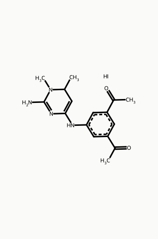 CC(=O)c1cc(NC2=CC(C)N(C)C(N)=N2)cc(C(C)=O)c1.I